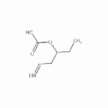 CCC(CC=N)OC(=O)O